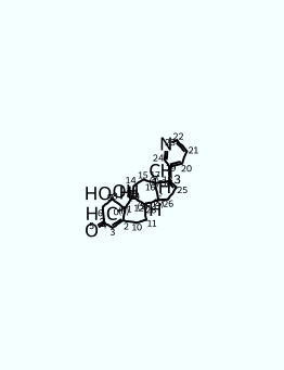 C[C@@]12C(=CC(=O)CC1(O)O)CC[C@@H]1[C@@H]2CC[C@]2(C)C(c3cccnc3)=CC[C@@H]12